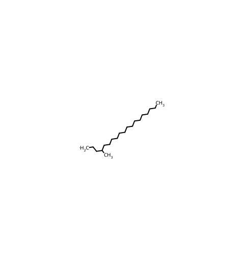 [CH2]CCC(C)CCCCCCCCCCCCCCC